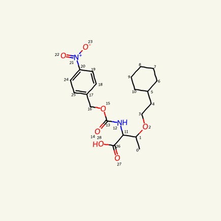 CC(OCCC1CCCCC1)C(NC(=O)OCc1ccc([N+](=O)[O-])cc1)C(=O)O